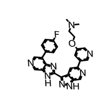 CN(C)CCOc1cncc(-c2cc3c(-c4nc5c(-c6ccc(F)cc6)cncc5[nH]4)n[nH]c3cn2)c1